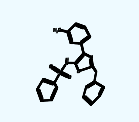 Cc1cccc(-c2nc(Cc3ccccc3)oc2NS(=O)(=O)c2ccccc2)c1